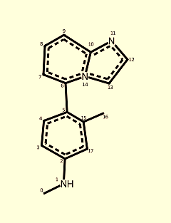 CNc1ccc(-c2cccc3nccn23)c(C)c1